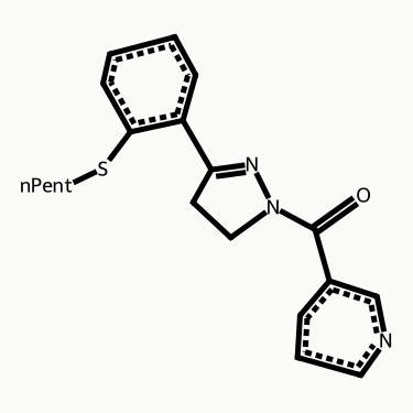 CCCCCSc1ccccc1C1=NN(C(=O)c2cccnc2)CC1